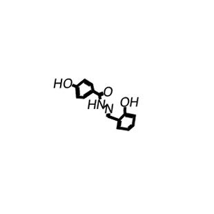 O=C(NN=Cc1ccccc1O)c1ccc(O)cc1